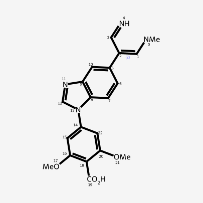 CN/C=C(\C=N)c1ccc2c(c1)ncn2-c1cc(OC)c(C(=O)O)c(OC)c1